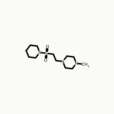 CN1CCN(CCS(=O)(=O)N2CC[CH]CC2)CC1